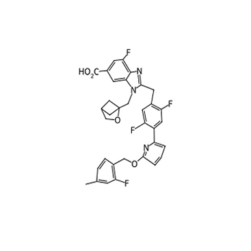 Cc1ccc(COc2cccc(-c3cc(F)c(Cc4nc5c(F)cc(C(=O)O)cc5n4CC45CC(CO4)C5)cc3F)n2)c(F)c1